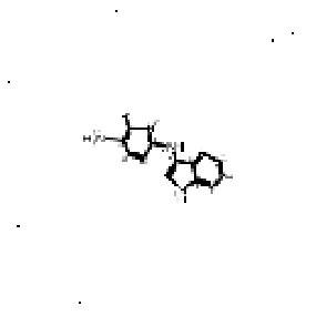 Cc1nc(Nc2c[nH]c3ccccc23)ccc1N